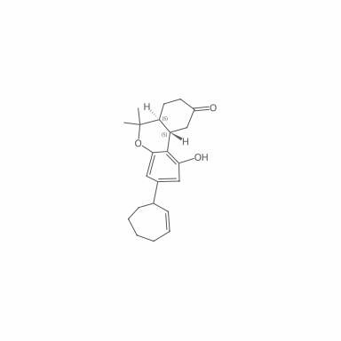 CC1(C)Oc2cc(C3C=CCCCC3)cc(O)c2[C@H]2CC(=O)CC[C@@H]21